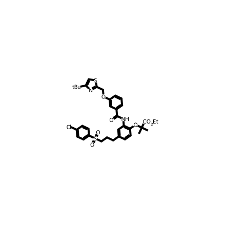 CCOC(=O)C(C)(C)Oc1ccc(CCCS(=O)(=O)c2ccc(Cl)cc2)cc1NC(=O)c1cccc(OCc2nc(C(C)(C)C)cs2)c1